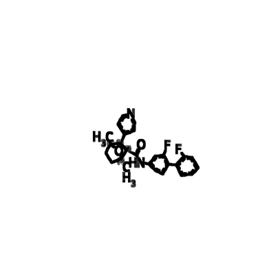 C[C@]12CC[C@](C)(O1)[C@@H](c1ccncc1)[C@H]2C(=O)Nc1ccc(-c2ccccc2F)c(F)c1